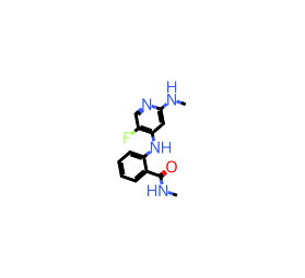 CNC(=O)c1ccccc1Nc1cc(NC)ncc1F